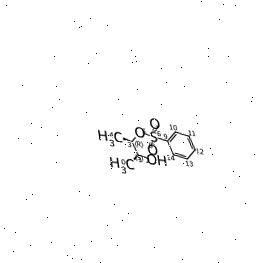 C[C@H](O)[C@@H](C)OS(=O)(=O)c1ccccc1